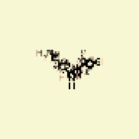 C[C@@H](NC(=O)c1c[nH]c2ncc(-c3nn(C)c4cc(Cl)cc(F)c34)nc12)C(=O)N1CC(N)C1